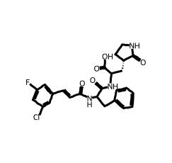 O=C(/C=C/c1cc(F)cc(Cl)c1)NC(Cc1ccccc1)C(=O)NC(C[C@@H]1CCNC1=O)C(=O)O